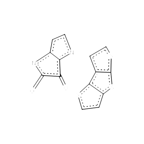 O=c1nc2ccnc-2c1=O.c1cc2c(s1)sc1ccsc12